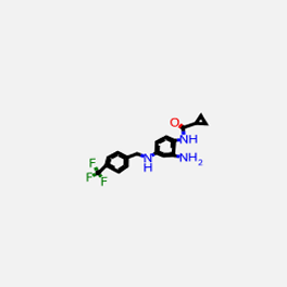 Nc1cc(NCc2ccc(C(F)(F)F)cc2)ccc1NC(=O)C1CC1